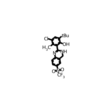 Cc1c(Cl)cc(C(C)(C)C)c(O)c1C1=Nc2ccc(S(=O)(=O)C(F)(F)F)cc2CN1